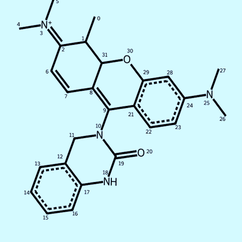 CC1C(=[N+](C)C)C=CC2=C(N3Cc4ccccc4NC3=O)c3ccc(N(C)C)cc3OC21